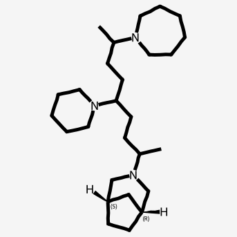 CC(CCC(CCC(C)N1C[C@@H]2CC[C@@H](C2)C1)N1CCCCC1)N1CCCCCC1